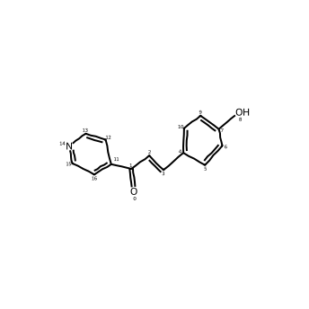 O=C(/C=C/c1ccc(O)cc1)c1ccncc1